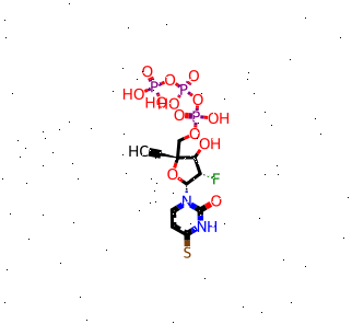 C#C[C@]1(COP(=O)(O)OP(=O)(O)OP(=O)(O)O)O[C@@H](n2ccc(=S)[nH]c2=O)[C@@H](F)C1O